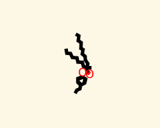 CCCCCCCCCCC(C)(CCCCCCCC)C(=O)Oc1ccc(CCC)cc1